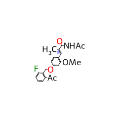 COc1cc(OCc2c(F)cccc2C(C)=O)ccc1/C=C(\C)C(=O)NC(C)=O